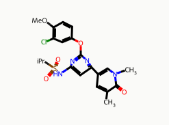 COc1ccc(Oc2nc(NS(=O)(=O)C(C)C)cc(-c3cc(C)c(=O)n(C)c3)n2)cc1Cl